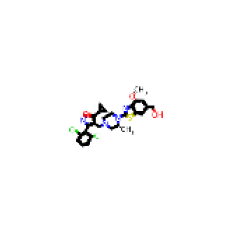 COc1cc(CO)cc2sc(N3CCN(Cc4c(-c5c(Cl)cccc5Cl)noc4C4CC4)C[C@H]3C)nc12